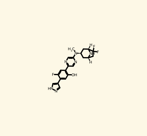 CN(c1cnc(-c2cc(F)c(-c3cn[nH]c3)cc2O)cn1)[C@@H]1C[C@H]2CC(F)(F)[C@@H](C1)N2